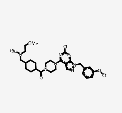 CCOc1cccc(Cn2ncc3c(N4CCN(C(=O)C5CCC(CN(CCOC)C(C)(C)C)CC5)CC4)nc(Cl)nc32)c1